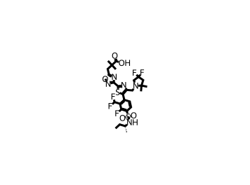 CC[C@@H](C)NS(=O)(=O)c1ccc(-c2sc(-c3noc(CC(C)(C)C(=O)O)n3)nc2CN2CC(F)(F)CC2(C)C)c(C(F)F)c1F